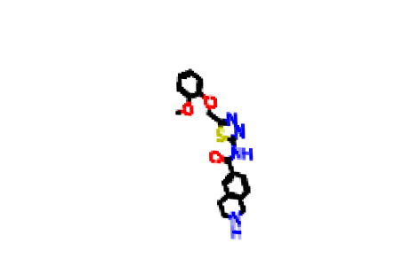 COc1ccccc1OCc1nnc(NC(=O)c2ccc3c(c2)CCNC3)s1